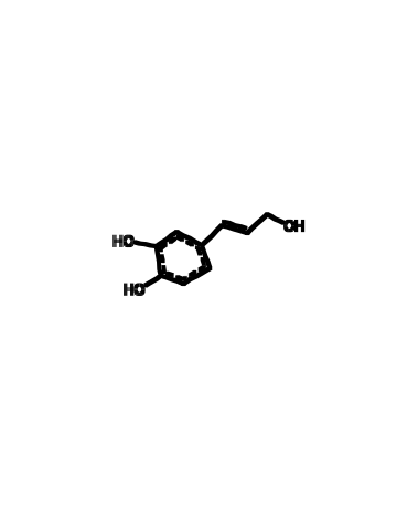 OC/C=C/c1ccc(O)c(O)c1